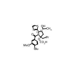 COc1cc(C(=O)N2[C@@H](c3nccs3)[C@H](C(C)O)C[C@]2(CC(C)C)OC(=O)O)ccc1C(C)(C)C